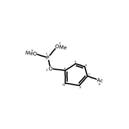 COP(OC)Oc1ccc(C(C)=O)cc1